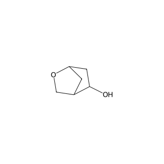 OC1CC2CC1CO2